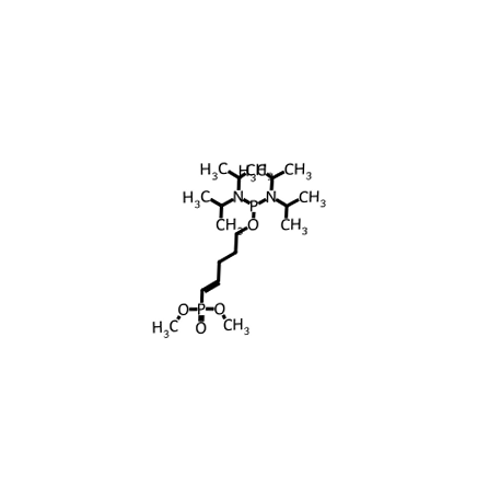 COP(=O)(/C=C/CCCOP(N(C(C)C)C(C)C)N(C(C)C)C(C)C)OC